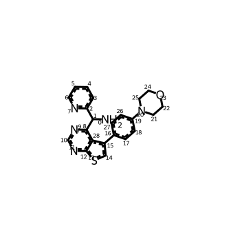 NC(c1ccccn1)c1ncnc2scc(-c3ccc(N4CCOCC4)cc3)c12